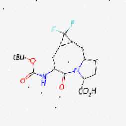 CC(C)(C)OC(=O)NC1CC2C(CC3CCC(C(=O)O)N3C1=O)C2(F)F